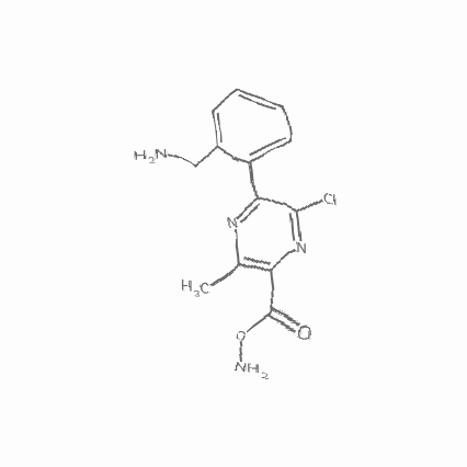 Cc1nc(-c2ccccc2CN)c(Cl)nc1C(=O)ON